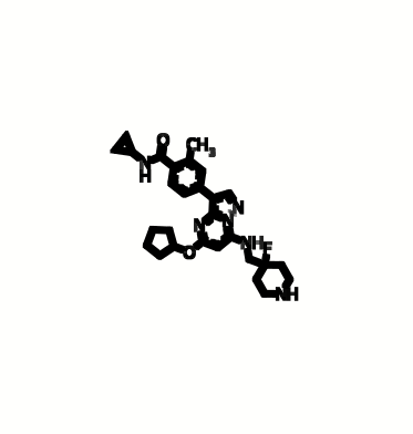 Cc1cc(-c2cnn3c(NCC4(F)CCNCC4)cc(OC4CCCC4)nc23)ccc1C(=O)NC1CC1